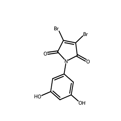 O=C1C(Br)=C(Br)C(=O)N1c1cc(O)cc(O)c1